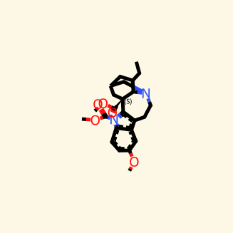 CCC1CC2CN3CCc4c(n(C(=O)OC)c5ccc(OC)cc45)[C@](C(=O)OC)(C2)C13